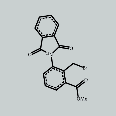 COC(=O)c1cccc([15N]2C(=O)c3ccccc3C2=O)c1CBr